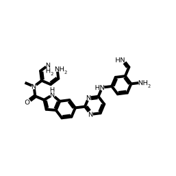 CN(C(=O)c1cc2ccc(-c3nccc(Nc4ccc(N)c(C=N)c4)n3)cc2[nH]1)C(/C=C\N)=C/N